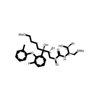 CC[C@H](CN(CC)C(=O)N[C@H](CNC)[C@@H](O)C(C)C)[C@@](O)(CCCCOC)c1cccc(F)c1Oc1ccccc1C